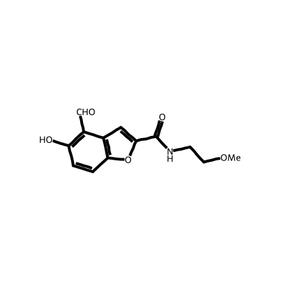 COCCNC(=O)c1cc2c(C=O)c(O)ccc2o1